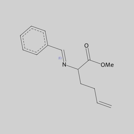 C=CCCC(/N=C/c1ccccc1)C(=O)OC